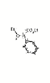 CCOC(=O)[C@@H](OCC)c1ccccc1